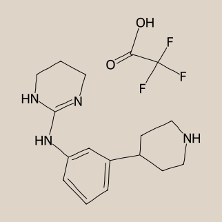 O=C(O)C(F)(F)F.c1cc(NC2=NCCCN2)cc(C2CCNCC2)c1